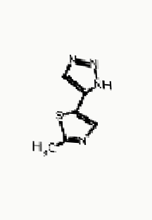 Cc1ncc(-c2cnn[nH]2)s1